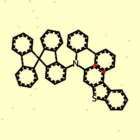 c1ccc(-c2ccccc2N(c2ccc3c(c2)sc2ccccc23)c2cccc3c2-c2ccccc2C32c3ccccc3-c3ccccc32)cc1